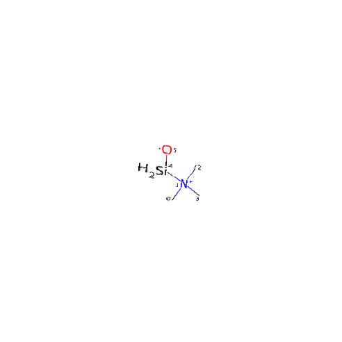 C[N+](C)(C)[SiH2][O]